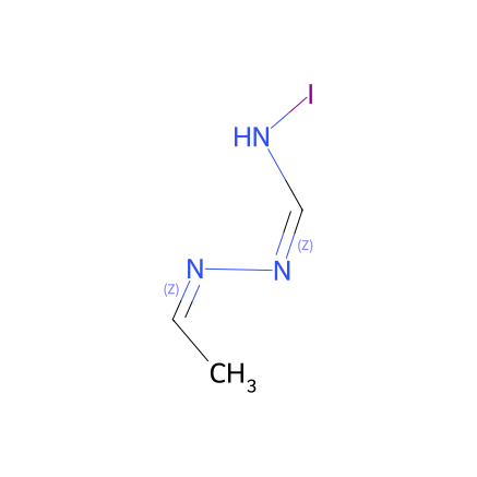 C/C=N\N=C/NI